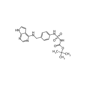 CC(C)(C)OC(=O)NS(=O)(=O)Nc1ccc(CNc2ncnc3[nH]ccc23)cc1